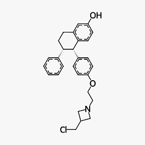 Oc1ccc2c(c1)CC[C@@H](c1ccccc1)[C@H]2c1ccc(OCCN2CC(CCl)C2)cc1